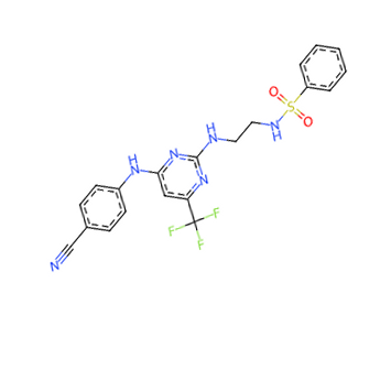 N#Cc1ccc(Nc2cc(C(F)(F)F)nc(NCCNS(=O)(=O)c3ccccc3)n2)cc1